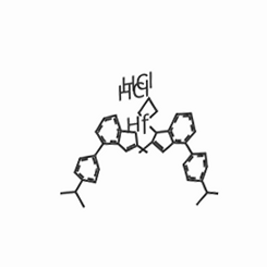 CC1=Cc2c(-c3ccc(C(C)C)cc3)cccc2[CH]1[Hf]1([CH]2C(C)=Cc3c(-c4ccc(C(C)C)cc4)cccc32)[CH2]C[CH2]1.Cl.Cl